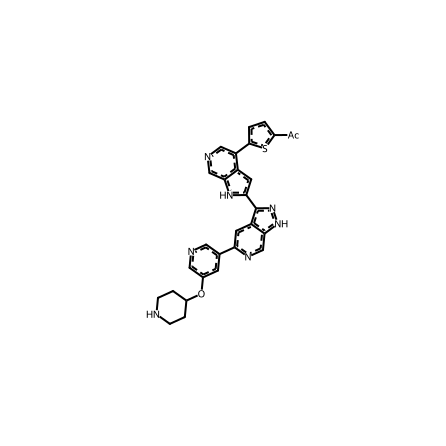 CC(=O)c1ccc(-c2cncc3[nH]c(-c4n[nH]c5cnc(-c6cncc(OC7CCNCC7)c6)cc45)cc23)s1